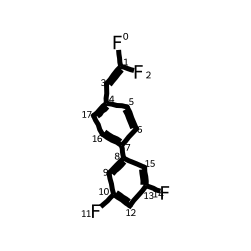 FC(F)=Cc1ccc(-c2cc(F)cc(F)c2)cc1